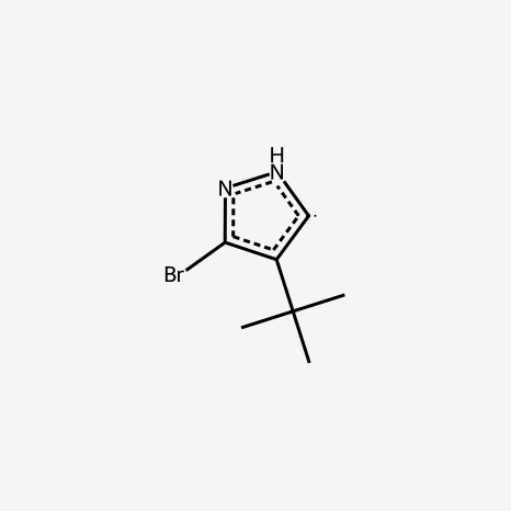 CC(C)(C)c1[c][nH]nc1Br